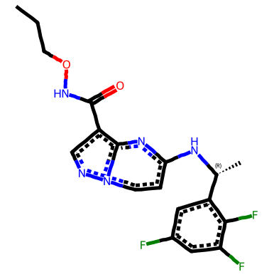 CCCONC(=O)c1cnn2ccc(N[C@H](C)c3cc(F)cc(F)c3F)nc12